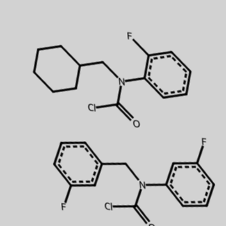 O=C(Cl)N(CC1CCCCC1)c1ccccc1F.O=C(Cl)N(Cc1cccc(F)c1)c1cccc(F)c1